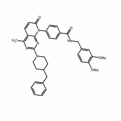 COc1ccc(CNC(=O)c2ccc(-n3c(=O)ccc4c(C)nc(N5CCC(Cc6ccccc6)CC5)nc43)cc2)cc1OC